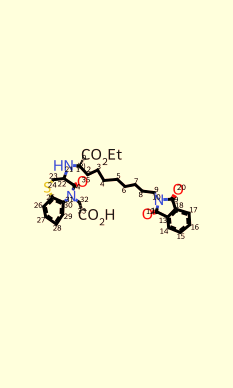 CCOC(=O)[C@@H](CCCCCCCCN1C(=O)c2ccccc2C1=O)NC1CSc2ccccc2N(CC(=O)O)C1=O